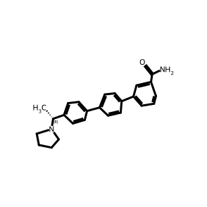 C[C@H](c1ccc(-c2ccc(-c3cccc(C(N)=O)c3)cc2)cc1)N1CCCC1